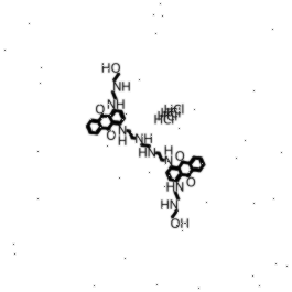 Cl.Cl.Cl.Cl.O=C1c2ccccc2C(=O)c2c(NCCNCCNCCNc3ccc(NCCNCCO)c4c3C(=O)c3ccccc3C4=O)ccc(NCCNCCO)c21